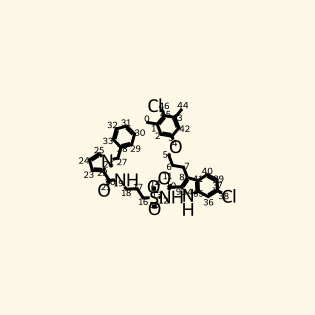 Cc1cc(OCCCc2c(C(=O)NS(=O)(=O)CCCNC(=O)c3cccn3Cc3ccccc3)[nH]c3cc(Cl)ccc23)cc(C)c1Cl